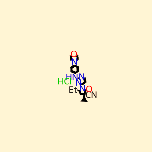 CC[C@@H]1C[C@](C#N)(C2CC2)C(=O)N1c1ccnc(Nc2ccc(N3CCOCC3)cc2)n1.Cl